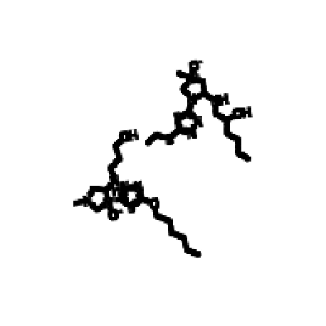 CCCCC(O)CNC1C[N+](C)([O-])CN1c1nnc(SCC)s1.CCCCCCOc1nnc([N+]2([O-])CN(C)CC2NCCCO)s1